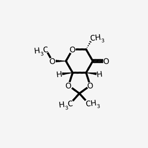 CO[C@H]1O[C@H](C)C(=O)[C@@H]2OC(C)(C)O[C@H]12